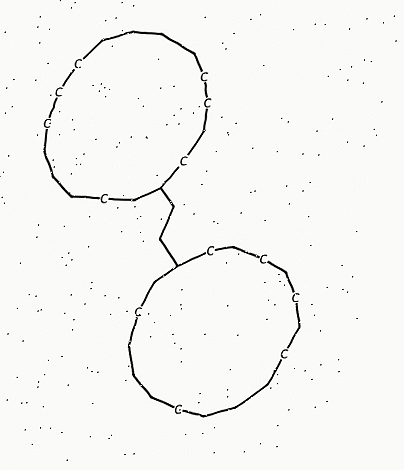 C1CCCCCCCCC(CCC2CCCCCCCCCCCCCCCC2)CCCCCCC1